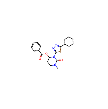 CN1CCC(OC(=O)c2ccccc2)N(c2nnc(C3CCCCC3)s2)C1=O